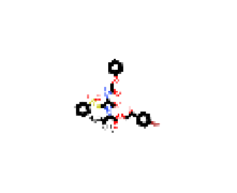 C=C(C)C(C(=O)OCC(=O)c1ccc(Br)cc1)N1C(=O)C(NC(=O)COc2ccccc2)C1SS(=O)(=O)c1ccccc1